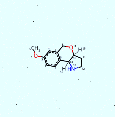 COc1ccc2c(c1)CO[C@H]1CCN[C@@H]21